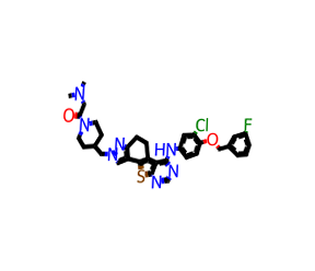 CN(C)CC(=O)N1CCC(Cn2cc3c(n2)CCc2c-3sc3ncnc(Nc4ccc(OCc5cccc(F)c5)c(Cl)c4)c23)CC1